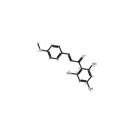 COc1ccc(C=CC(=O)c2c(O)cc(O)cc2O)cc1